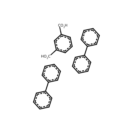 O=C(O)c1cccc(C(=O)O)c1.c1ccc(-c2ccccc2)cc1.c1ccc(-c2ccccc2)cc1